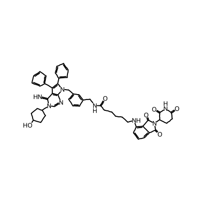 N=c1c2c(-c3ccccc3)c(-c3ccccc3)n(Cc3cccc(CNC(=O)CCCCCNc4cccc5c4C(=O)N(C4CCC(=O)NC4=O)C5=O)c3)c2ncn1C1CCC(O)CC1